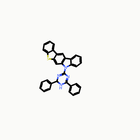 c1ccc(C2=NC(n3c4ccccc4c4cc5c(cc43)sc3ccccc35)=NC(c3ccccc3)N2)cc1